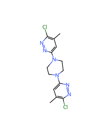 Cc1cc(N2CCN(c3cc(C)c(Cl)nn3)CC2)nnc1Cl